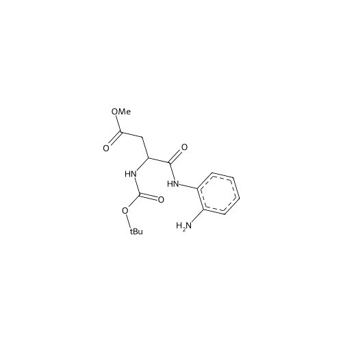 COC(=O)CC(NC(=O)OC(C)(C)C)C(=O)Nc1ccccc1N